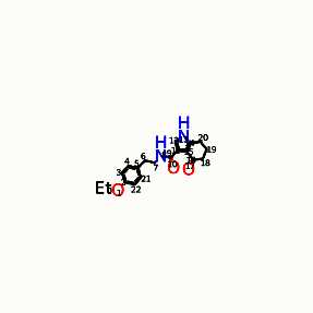 CCOc1ccc(CCNC(=O)c2c[nH]c3c2C(=O)CCC3)cc1